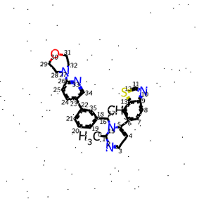 CC1N=CC=C(c2ccc3ncsc3c2)N1[C@@H](C)c1cccc(-c2ccc(N3CCOCC3)nc2)c1